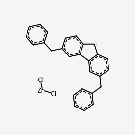 [CH]1c2ccc(Cc3ccccc3)cc2-c2cc(Cc3ccccc3)ccc21.[Cl][Zr][Cl]